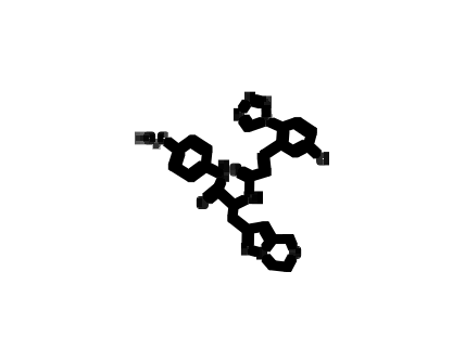 O=C(C=Cc1cc(Cl)ccc1-n1cnnn1)NC(Cc1cc2n(n1)CCOC2)C(=O)Nc1ccc(C(=O)O)cc1